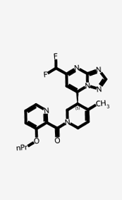 CCCOc1cccnc1C(=O)N1CC=C(C)[C@H](c2cc(C(F)F)nc3ncnn23)C1